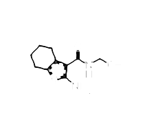 CCNC(=O)c1c(N)sc2c1CCCC2